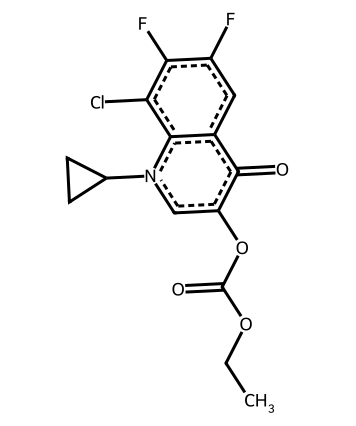 CCOC(=O)Oc1cn(C2CC2)c2c(Cl)c(F)c(F)cc2c1=O